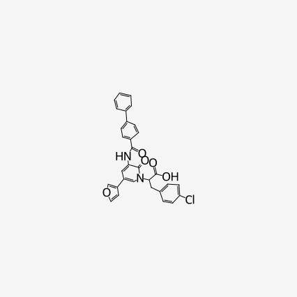 O=C(Nc1cc(-c2ccoc2)cn(C(Cc2ccc(Cl)cc2)C(=O)O)c1=O)c1ccc(-c2ccccc2)cc1